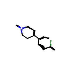 C=C(F)/C=C\C(=C/C)C1CCN(C)CC1